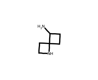 NC1CCC12CCN2